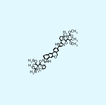 COC(=O)N[C@H](C(=O)N1[C@@H](C)CC[C@H]1c1ncc(-c2ccc3c(c2)COc2cc4c(ccc5nc([C@@H]6CC[C@H](C)N6C(=O)[C@@H](OC(N)=O)[C@@H](C)OC)[nH]c54)cc2-3)[nH]1)C(C)OC